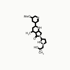 COC1CN=CC(C2CC(C)C3C(=O)N(C4CCN(C[C@H](C)O)N4)CC3N2)C1